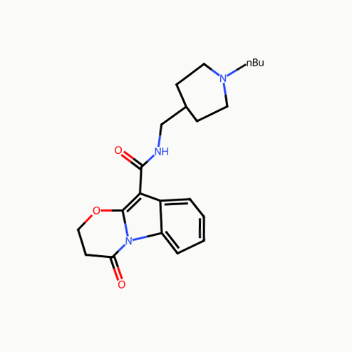 CCCCN1CCC(CNC(=O)c2c3n(c4ccccc24)C(=O)CCO3)CC1